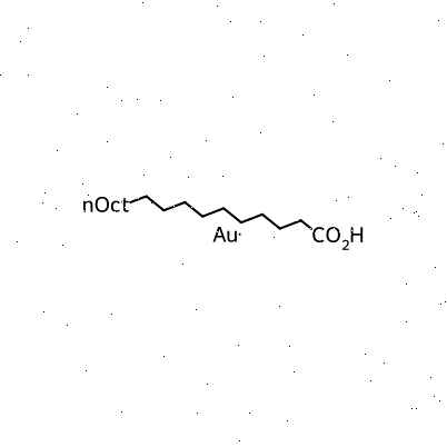 CCCCCCCCCCCCCCCCCC(=O)O.[Au]